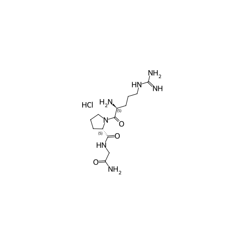 Cl.N=C(N)NCCC[C@H](N)C(=O)N1CCC[C@H]1C(=O)NCC(N)=O